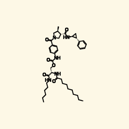 CCCCCCCCCC(=O)N[C@@H](COC(=O)Nc1ccc(C(=O)N2C[C@@H](C)[C@H](C(=O)N[C@H]3C[C@@H]3c3ccccc3)C2)cc1)C(=O)NCCCCCC